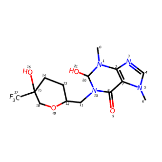 CN1c2ncn(C)c2C(=O)N(CC2CCC(O)(C(F)(F)F)CO2)C1O